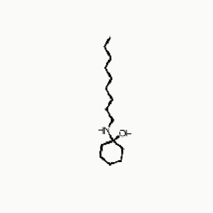 CCCCCCCCCNC1(O)CCCCC1